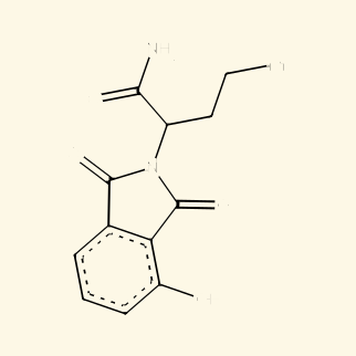 CC(C)CCC(C(N)=O)N1C(=O)c2cccc(O)c2C1=O